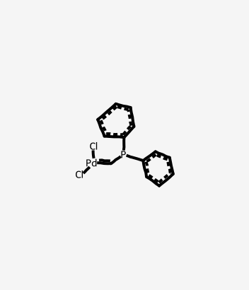 [Cl][Pd]([Cl])=[CH]P(c1ccccc1)c1ccccc1